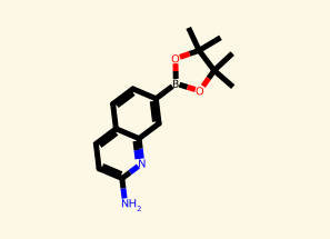 CC1(C)OB(c2ccc3ccc(N)nc3c2)OC1(C)C